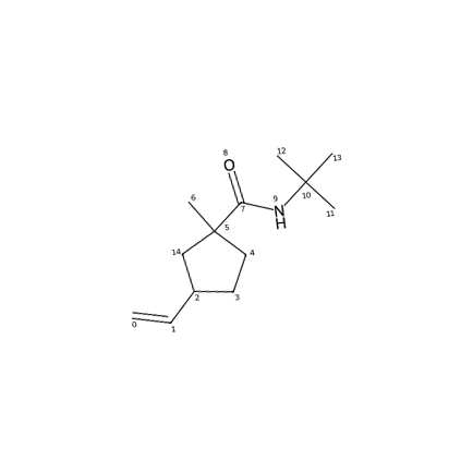 C=CC1CCC(C)(C(=O)NC(C)(C)C)C1